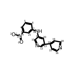 O=[N+]([O-])c1cccc(Nc2cncc(-c3ccncc3)c2)c1